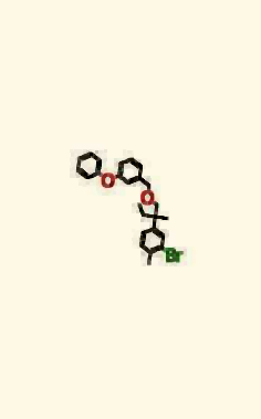 CCC(C)(COCc1cccc(Oc2ccccc2)c1)c1ccc(C)c(Br)c1